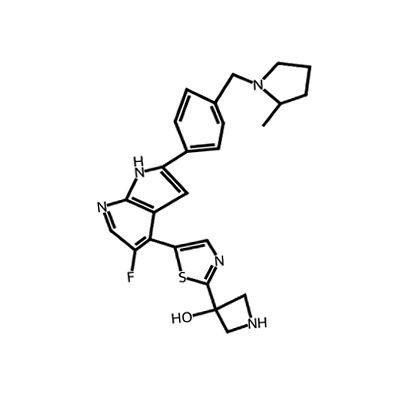 CC1CCCN1Cc1ccc(-c2cc3c(-c4cnc(C5(O)CNC5)s4)c(F)cnc3[nH]2)cc1